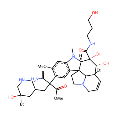 C=C(N)C(CC1CNCC(O)(CC)C1)(C(=O)OC)c1cc2c(cc1OC)N(C)[C@H]1C23CCN2CC=C[C@](CC)(C23)[C@@H](O)[C@]1(O)C(=O)NCCCO